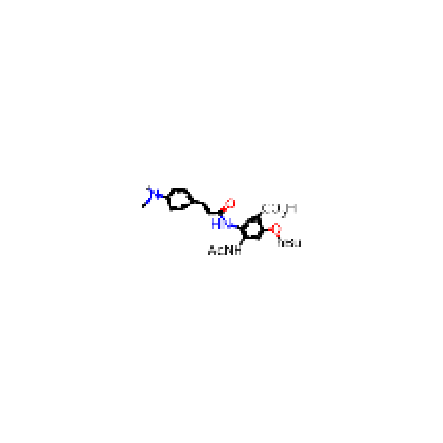 CCCCOc1cc(NC(C)=O)c(NC(=O)C=Cc2ccc(N(C)C)cc2)cc1C(=O)O